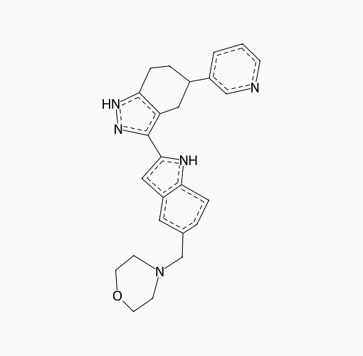 c1cncc(C2CCc3[nH]nc(-c4cc5cc(CN6CCOCC6)ccc5[nH]4)c3C2)c1